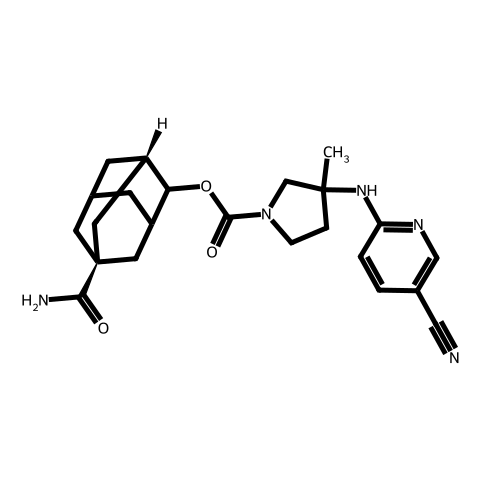 CC1(Nc2ccc(C#N)cn2)CCN(C(=O)OC2C3CC4C[C@H]2C[C@@](C(N)=O)(C4)C3)C1